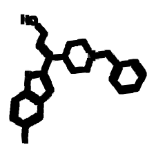 Cc1ccc2sc(C(=CCO)C3CCN(Cc4ccccc4)CC3)cc2c1